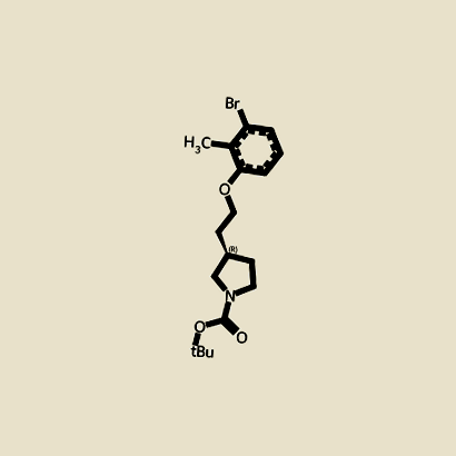 Cc1c(Br)cccc1OCC[C@H]1CCN(C(=O)OC(C)(C)C)C1